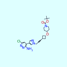 CC(C)(C)OC(=O)N1CCC(O[C@H]2C[C@H](C#CCn3cc(-c4cc(Cl)nnc4N)cn3)C2)CC1